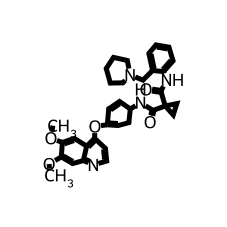 COc1cc2nccc(OC3=CCC(NC(=O)C4(C(=O)Nc5ccccc5CN5CCCCC5)CC4)C=C3)c2cc1OC